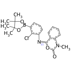 Cn1c(=O)o/c(=N/c2cccc(B3OC(C)(C)C(C)(C)O3)c2Cl)c2ccccc21